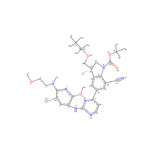 COCCN(C)c1nc(OC)c(Nc2nccc(-c3cc(C#N)c4c(c3)[C@@](C)(CO[Si](C)(C)C(C)(C)C)CN4C(=O)OC(C)(C)C)n2)cc1Cl